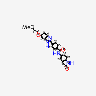 COCCOc1ccc2nc(-c3ccc(C(=O)Nc4ccc5c(c4)CC(=O)N5)cc3)[nH]c2c1